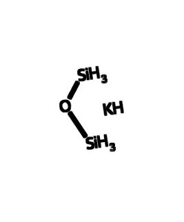 [KH].[SiH3]O[SiH3]